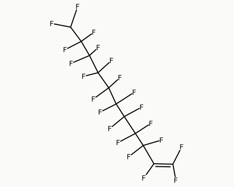 FC(F)=C(F)C(F)(F)C(F)(F)C(F)(F)C(F)(F)C(F)(F)C(F)(F)C(F)(F)C(F)(F)C(F)F